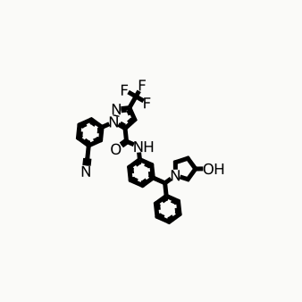 N#Cc1cccc(-n2nc(C(F)(F)F)cc2C(=O)Nc2cccc(C(c3ccccc3)N3CCC(O)C3)c2)c1